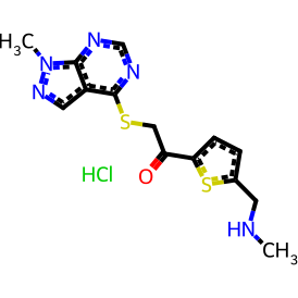 CNCc1ccc(C(=O)CSc2ncnc3c2cnn3C)s1.Cl